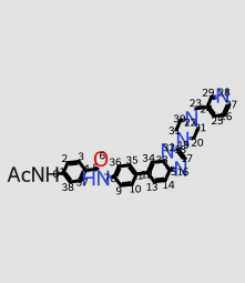 CC(=O)Nc1ccc(C(=O)Nc2ccc(-c3ccc4ncc(N5CCN(Cc6cccnc6)CC5)nc4c3)cc2)cc1